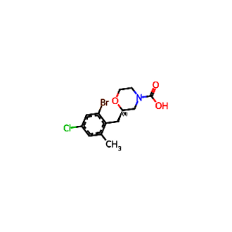 Cc1cc(Cl)cc(Br)c1C[C@@H]1CN(C(=O)O)CCO1